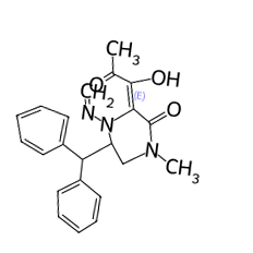 C=NN1/C(=C(/O)C(C)=O)C(=O)N(C)CC1C(c1ccccc1)c1ccccc1